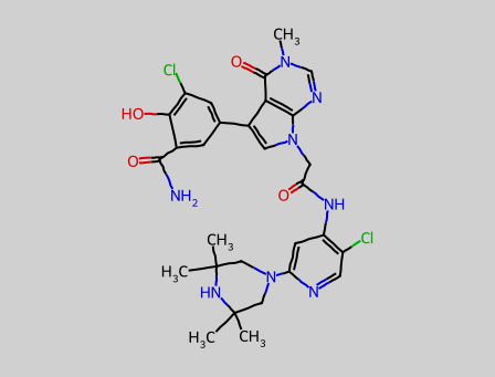 Cn1cnc2c(c(-c3cc(Cl)c(O)c(C(N)=O)c3)cn2CC(=O)Nc2cc(N3CC(C)(C)NC(C)(C)C3)ncc2Cl)c1=O